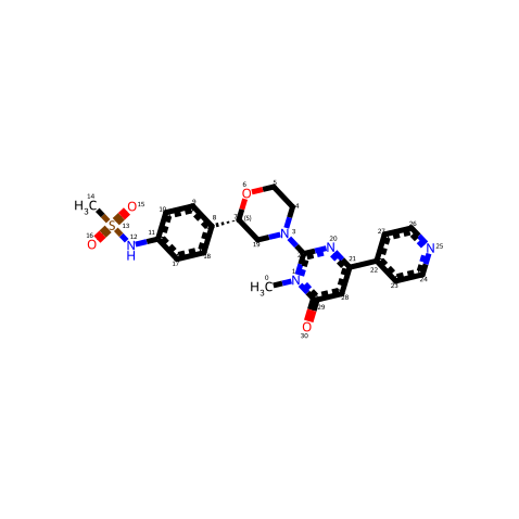 Cn1c(N2CCO[C@@H](c3ccc(NS(C)(=O)=O)cc3)C2)nc(-c2ccncc2)cc1=O